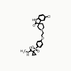 CNC(=O)C1(S(=O)(=O)c2ccc(OCCN3CCC4(CC3)C(=O)Nc3ccc(Cl)cc34)cc2)CC1